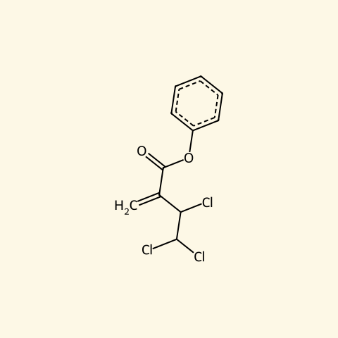 C=C(C(=O)Oc1ccccc1)C(Cl)C(Cl)Cl